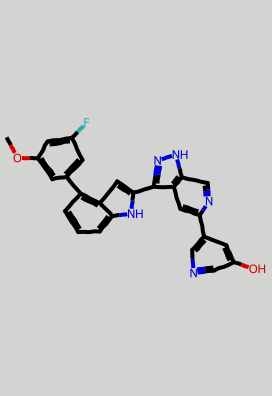 COc1cc(F)cc(-c2cccc3[nH]c(-c4n[nH]c5cnc(-c6cncc(O)c6)cc45)cc23)c1